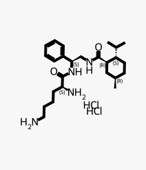 CC(C)[C@@H]1CC[C@@H](C)C[C@H]1C(=O)NC[C@@H](NC(=O)[C@@H](N)CCCCN)c1ccccc1.Cl.Cl